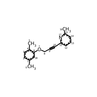 Cc1ccc(C)c(OCC#Cc2cccc(C)n2)c1